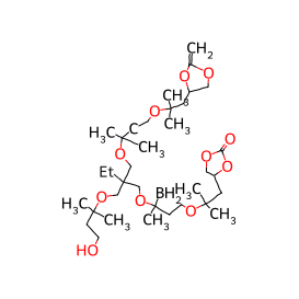 BC(C)(CCOC(C)(C)CC1COC(=O)O1)OCC(CC)(COC(C)(C)CCO)COC(C)(C)CCOC(C)(C)CC1COC(=C)O1